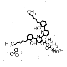 CC(=O)[O-].CC(=O)[O-].CC(=O)[O-].CCCCCCc1cccc(-c2cccc(-c3cccc(-c4cccc(CCCCCC)c4O)n3)n2)c1O.[Mn+3]